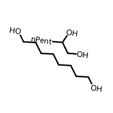 CCCCCC(O)CO.OCCCCCCCCO